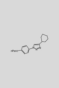 CCCCCc1ccc(-n2cc(C3CCCCC3)nn2)cc1